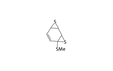 CSC12C=CC3SC3C1S2